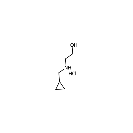 Cl.OCCNCC1CC1